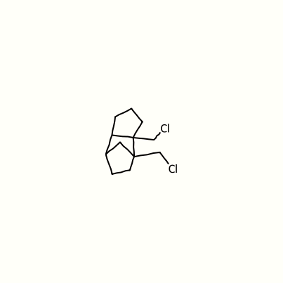 ClCC12CCC(C1)C1CCCC12CCl